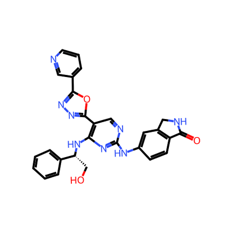 O=C1NCc2cc(Nc3ncc(-c4nnc(-c5cccnc5)o4)c(N[C@H](CO)c4ccccc4)n3)ccc21